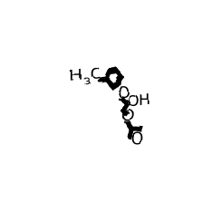 CCc1cccc(OCC(O)COCC2COC2)c1